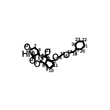 O=C1CCC(N2C(=O)c3cccc(OCCOCCC4CCCCC4)c3C2=O)C(=O)N1